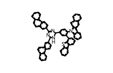 c1ccc2cc3c(cc2c1)c1ccccc1n3-c1ccc(C2N=C(c3ccc4c(ccc5ccccc54)c3)N=C(c3ccc4c(ccc5ccccc54)c3)N2)cc1-c1cccc2c1sc1ccccc12